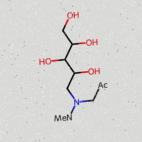 CNN(CC(C)=O)CC(O)C(O)C(O)CO